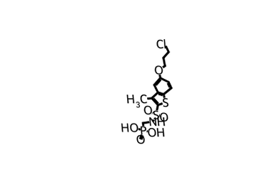 Cc1c(S(=O)(=O)NCP(=O)(O)O)sc2ccc(OCCCCl)cc12